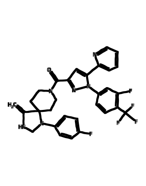 C=C1NCN(c2ccc(F)cc2)C12CCN(C(=O)c1cc(-c3ccccn3)n(-c3ccc(C(F)(F)F)c(F)c3)n1)CC2